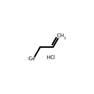 C=C[CH2][Ge].Cl